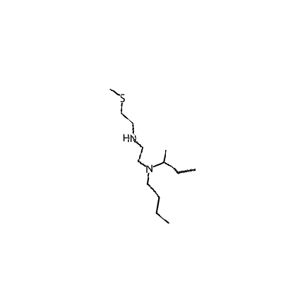 CCCCN(CCNCCSC)C(C)CC